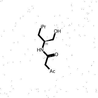 CC(=O)CC(=O)N[C@H](CO)CC(C)C